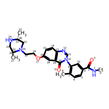 CCNC(=O)c1ccc(C)c(-n2cnc3ccc(OCCN4C[C@@H](C)NC[C@@H]4C)cc3c2=O)c1